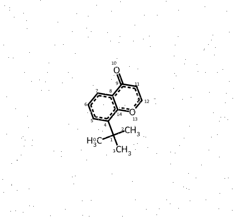 CC(C)(C)c1cccc2c(=O)ccoc12